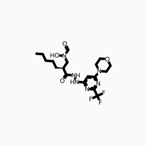 CCCCC[C@@H](CN(O)C=O)C(=O)NNc1cc(N2CCOCC2)nc(C(F)(F)F)n1